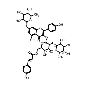 CC1O[C@@H](Oc2cc(O)c3c(=O)c(O[C@@H]4OC(COC(=O)/C=C/c5ccc(O)cc5)[C@@H](O)C(O)C4O[C@@H]4OC(C)[C@H](O)C(O)C4O)c(-c4ccc(O)cc4)oc3c2)C(O)C(O)[C@H]1O